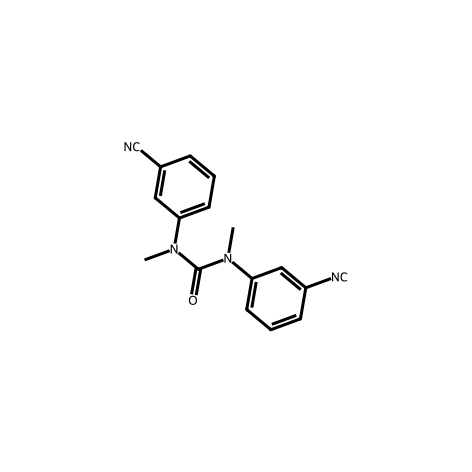 [C-]#[N+]c1cccc(N(C)C(=O)N(C)c2cccc(C#N)c2)c1